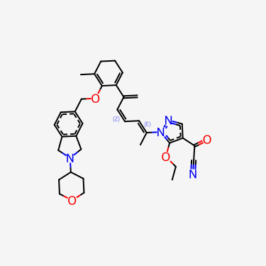 C=C(/C=C\C=C(/C)n1ncc(C(=O)C#N)c1OCC)C1=CCCC(C)=C1OCc1ccc2c(c1)CN(C1CCOCC1)C2